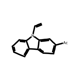 C=Cn1c2ccccc2c2ccc(C(C)=O)cc21